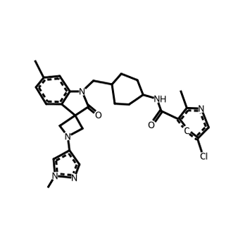 Cc1ccc2c(c1)N(CC1CCC(NC(=O)c3cc(Cl)cnc3C)CC1)C(=O)C21CN(c2cnn(C)c2)C1